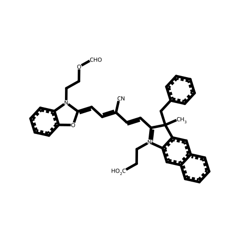 CC1(Cc2ccccc2)C(/C=C/C(C#N)=C/C=C2\Oc3ccccc3N2CCOC=O)=[N+](CCC(=O)O)c2cc3ccccc3cc21